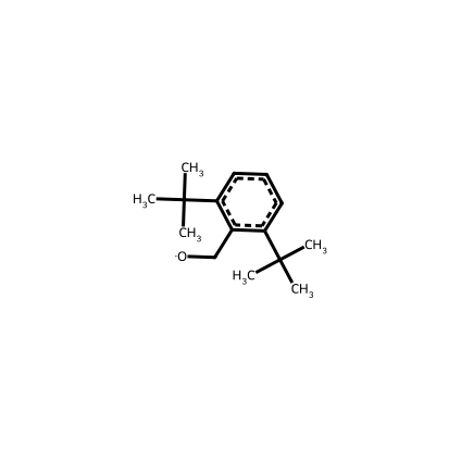 CC(C)(C)c1cccc(C(C)(C)C)c1C[O]